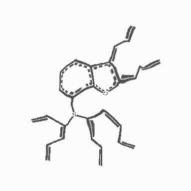 C=C/C=C\C(=C/C=C)N(/C(C=C)=C/C=C)c1cccc2c(=C/C=C)/c(=C\C=C)oc12